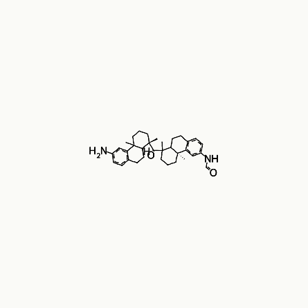 CC1(C(=O)[C@@]2(C)CCCC3(C)c4cc(N)ccc4CC[C@H]32)CCC[C@]2(C)c3cc(NC=O)ccc3CCC12